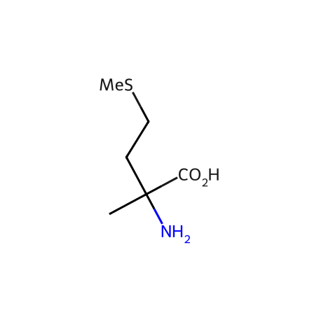 CSCCC(C)(N)C(=O)O